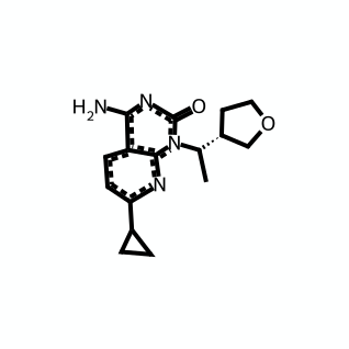 CC([C@@H]1CCOC1)n1c(=O)nc(N)c2ccc(C3CC3)nc21